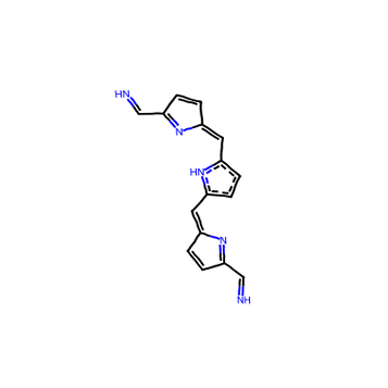 N=CC1=N/C(=C\c2ccc(/C=C3/C=CC(C=N)=N3)[nH]2)C=C1